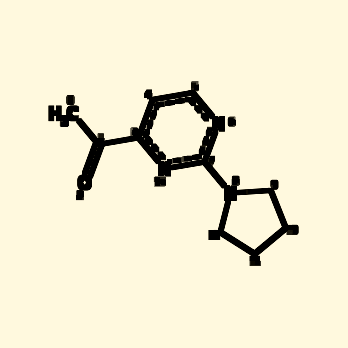 CC(=O)c1ccnc(N2CCCC2)n1